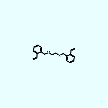 C=Cc1ccccc1COCCSCc1ccccc1C=C